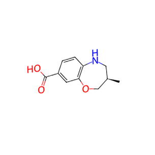 C[C@@H]1CNc2ccc(C(=O)O)cc2OC1